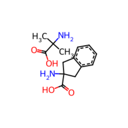 CC(C)(N)C(=O)O.NC1(C(=O)O)Cc2ccccc2C1